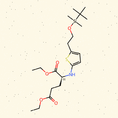 CCOC(=O)CC[C@H](Nc1ccc(CCO[Si](C)(C)C(C)(C)C)s1)C(=O)OCC